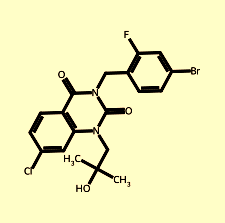 CC(C)(O)Cn1c(=O)n(Cc2ccc(Br)cc2F)c(=O)c2ccc(Cl)cc21